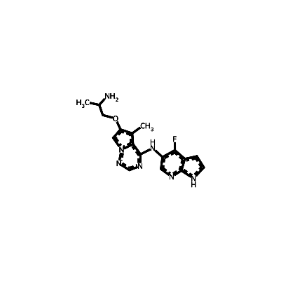 Cc1c(OCC(C)N)cn2ncnc(Nc3cnc4[nH]ccc4c3F)c12